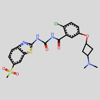 CN(C)C1CC(Oc2ccc(Cl)c(C(=O)NC(=O)Nc3nc4ccc(S(C)(=O)=O)cc4s3)c2)C1